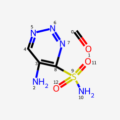 C=O.Nc1cnnnc1S(N)(=O)=O